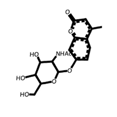 CC(=O)NC1C(Oc2ccc3c(C)cc(=O)oc3c2)OC(CO)C(O)C1O